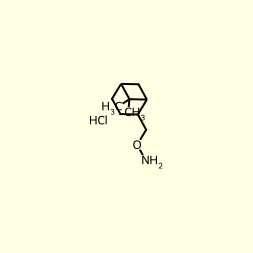 CC1(C)C2CCC(CON)C1C2.Cl